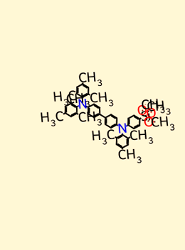 CO[Si](OC)(OC)c1ccc(N(c2ccc(-c3ccc(N(c4c(C)cc(C)cc4C)c4c(C)cc(C)cc4C)cc3)cc2)c2c(C)cc(C)cc2C)cc1